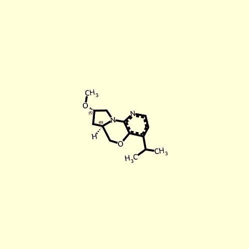 CO[C@H]1C[C@@H]2COc3c(C(C)C)ccnc3N2C1